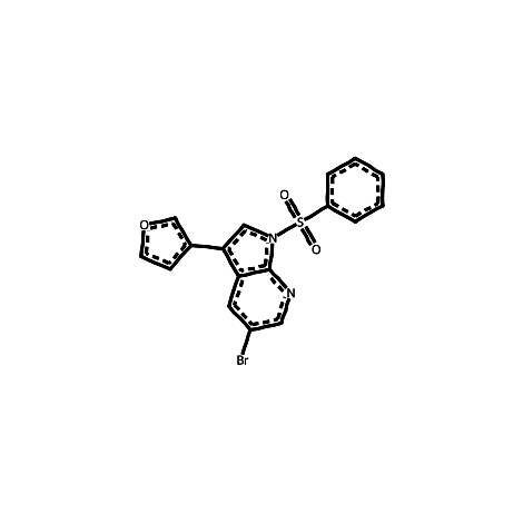 O=S(=O)(c1ccccc1)n1cc(-c2ccoc2)c2cc(Br)cnc21